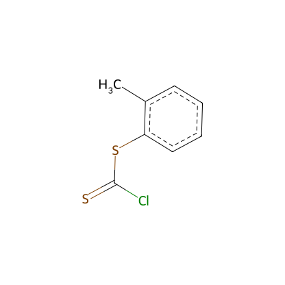 Cc1ccccc1SC(=S)Cl